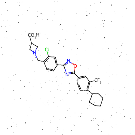 O=C(O)C1CN(Cc2ccc(-c3noc(-c4ccc(C5CCCCC5)c(C(F)(F)F)c4)n3)cc2Cl)C1